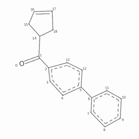 O=C(c1ccc(-c2ccccc2)cc1)C1CC=CC1